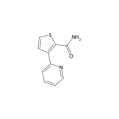 NC(=O)c1sccc1-c1ccccn1